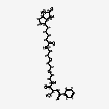 CC(SC(=S)c1ccccc1)C(=O)NCCOCCOCCNC(=O)CCCCC1SCC2NC(=O)NC21